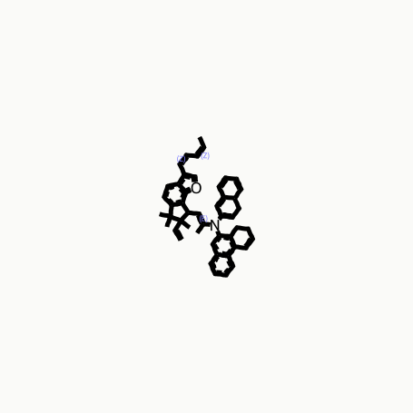 C=CC1(C)C(/C=C(\C)N(C2=CCC3C=CC=CC3=C2)c2cc3ccccc3c3c2CCC=C3)c2c(ccc3c(/C=C\C=C/C)coc23)C1(C)C